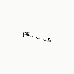 Cl[Si](Cl)(Cl)CCCCCCCCCCCCCCCCCc1cccs1